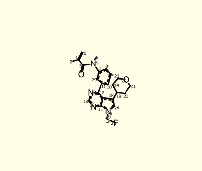 C=C(C)C(=O)N(C)c1cccc(-c2ncnc3c2c(C2CCOCC2)cn3SF)c1